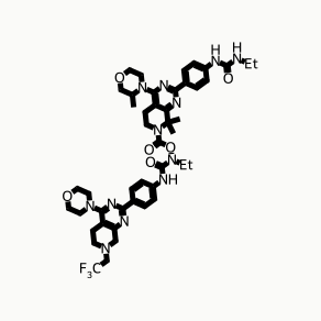 CCNC(=O)Nc1ccc(-c2nc(N3CCOCC3C)c3c(n2)C(C)(C)N(C(=O)ON(CC)C(=O)Nc2ccc(-c4nc5c(c(N6CCOCC6)n4)CCN(CC(F)(F)F)C5)cc2)CC3)cc1